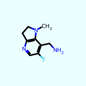 CN1CCc2ncc(F)c(CN)c21